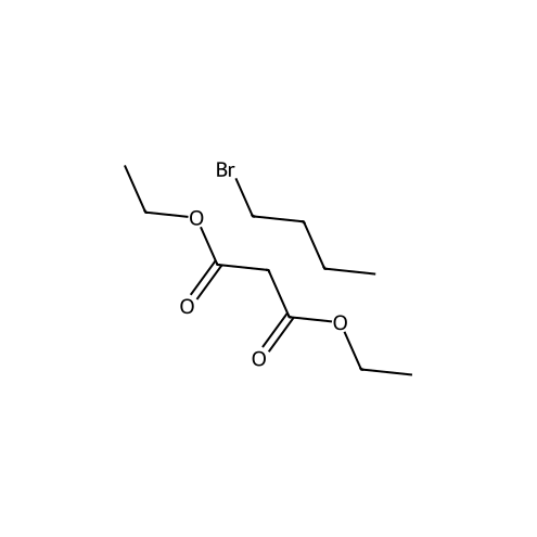 CCCCBr.CCOC(=O)CC(=O)OCC